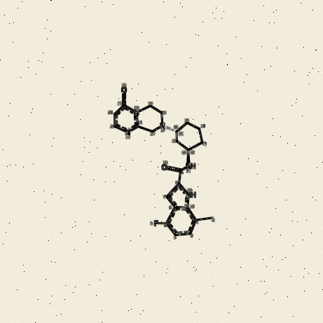 Cc1ccc(F)c2cc(C(=O)N[C@@H]3CCC[C@@H](N4CCn5c(nccc5=O)C4)C3)[nH]c12